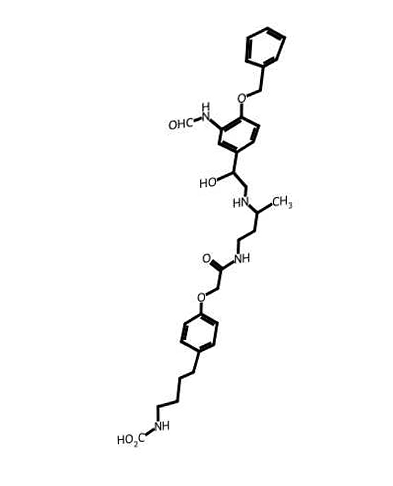 CC(CCNC(=O)COc1ccc(CCCCNC(=O)O)cc1)NCC(O)c1ccc(OCc2ccccc2)c(NC=O)c1